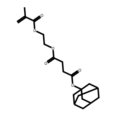 C=C(C)C(=O)OCCOC(=O)CCC(=O)OC12CC3CC(CC(C3)C1)C2